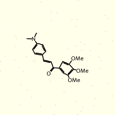 COc1cc(C(=O)C=Cc2ccc(N(C)C)cc2)cc(OC)c1OC